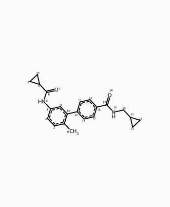 Cc1ccc(NC(=O)C2CC2)cc1-c1ccc(C(=O)NCC2CC2)cc1